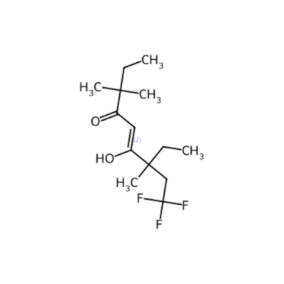 CCC(C)(C)C(=O)/C=C(\O)C(C)(CC)CC(F)(F)F